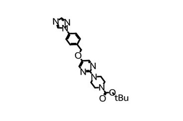 CC(C)(C)OC(=O)N1CCN(c2ncc(OCc3ccc(-n4cncn4)cc3)cn2)CC1